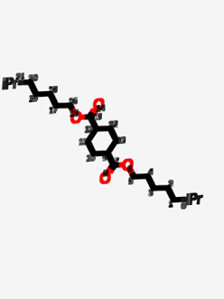 CC(C)CCCCCOC(=O)C1CCC(C(=O)OCCCCCC(C)C)CC1